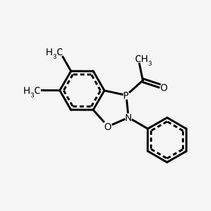 CC(=O)P1c2cc(C)c(C)cc2ON1c1ccccc1